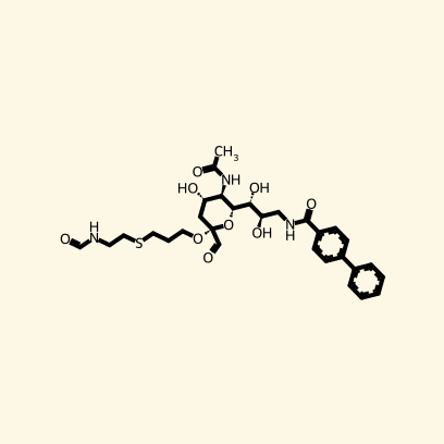 CC(=O)N[C@H]1[C@H]([C@H](O)[C@H](O)CNC(=O)c2ccc(-c3ccccc3)cc2)O[C@](C=O)(OCCCSCCNC=O)C[C@@H]1O